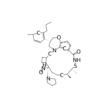 CCCC1=C([C@@H]2COc3ccc4cc3N(CC3CC[C@H]3[C@](CN3CCCC3)(N=O)CCC[C@H](C)[C@@H](C)SNC4=O)C2)C=CC(C)C1